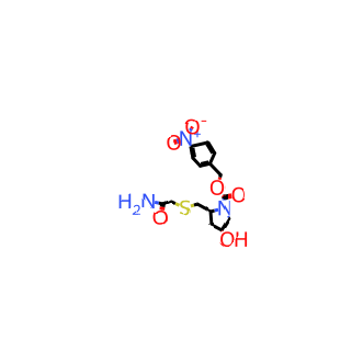 NC(=O)CSCC1CC(O)CN1C(=O)OCc1ccc([N+](=O)[O-])cc1